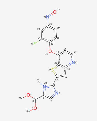 COC(OC)c1cnc(-c2cc3nccc(Oc4ccc(N=O)cc4F)c3s2)n1C